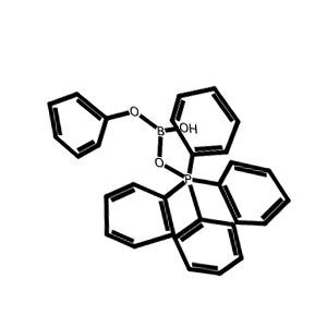 OB(Oc1ccccc1)OP(c1ccccc1)(c1ccccc1)(c1ccccc1)c1ccccc1